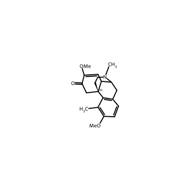 COC1=CC2C3Cc4ccc(OC)c(C)c4[C@]2(CCN3C)CC1=O